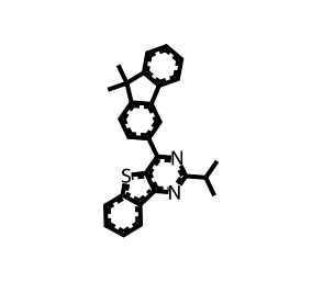 CC(C)c1nc(-c2ccc3c(c2)-c2ccccc2C3(C)C)c2sc3ccccc3c2n1